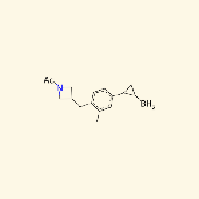 BC1CC1c1ccc(CC2CN(C(C)=O)C2)c(C)c1